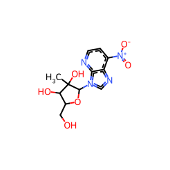 CC1(O)C(O)C(CO)OC1n1cnc2c([N+](=O)[O-])ccnc21